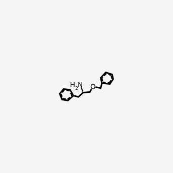 N[C@@H](COCc1ccccc1)Cc1ccccc1